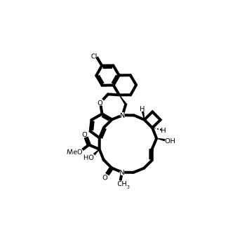 COC(=O)[C@@]1(O)CC(=O)N(C)CC/C=C/[C@H](O)[C@@H]2CC[C@H]2CN2C[C@@]3(CCCc4cc(Cl)ccc43)COc3ccc1cc32